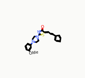 COc1cccc(N2CCN(C3=NC(=O)C(=CC=Cc4ccccc4)S3)CC2)c1